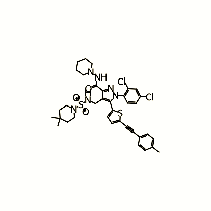 Cc1ccc(C#Cc2ccc(-c3c(CNS(=O)(=O)N4CCC(C)(C)CC4)c(C(=O)NN4CCCCC4)nn3-c3ccc(Cl)cc3Cl)s2)cc1